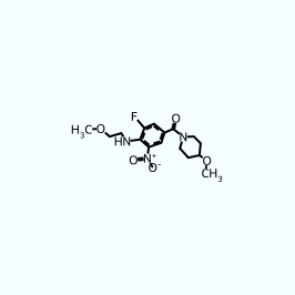 COCCNc1c(F)cc(C(=O)N2CCC(OC)CC2)cc1[N+](=O)[O-]